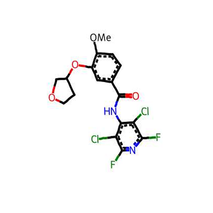 COc1ccc(C(=O)Nc2c(Cl)c(F)nc(F)c2Cl)cc1OC1CCOC1